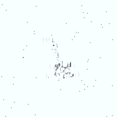 Cc1cc(C(C)(C(=O)OCCOCCOCCO)c2cc(C)c(O)cc2C(C)(C)C)c(C(C)(C)C)cc1O